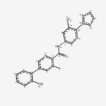 Cc1cc(-c2ccccc2C#N)cnc1C(=O)Nc1cnc(-n2nccn2)c(C(F)(F)F)c1